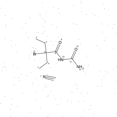 C#N.CCC(Br)(CC)C(=O)NC(N)=O